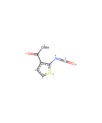 COC(=O)c1ccsc1N=C=O